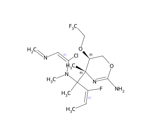 C=N/C=C(/Cl)N(C)C(C)(/C(F)=C\C)[C@@]1(C)N=C(N)OC[C@@H]1OCC(F)(F)F